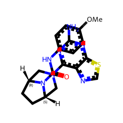 COc1ccc(NC(=O)N2[C@@H]3CC[C@H]2CN(c2nc(N)nc4scnc24)C3)cc1